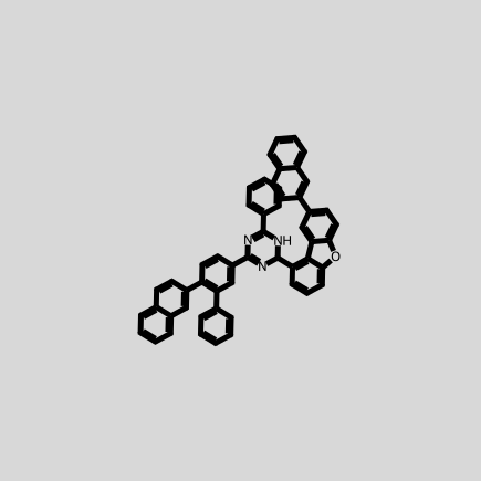 c1ccc(C2=NC(c3ccc(-c4ccc5ccccc5c4)c(-c4ccccc4)c3)=NC(c3cccc4oc5ccc(-c6ccc7ccccc7c6)cc5c34)N2)cc1